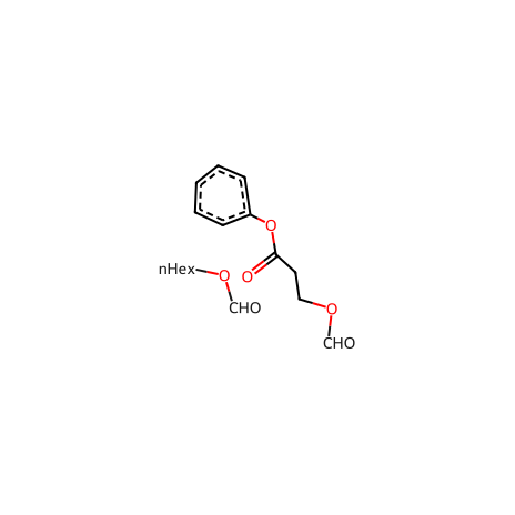 CCCCCCOC=O.O=COCCC(=O)Oc1ccccc1